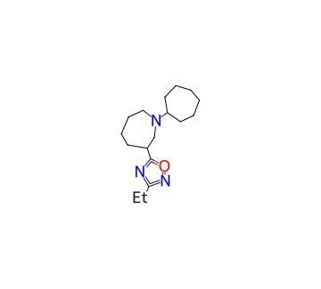 CCc1noc(C2CCCCN(C3CCCCCC3)C2)n1